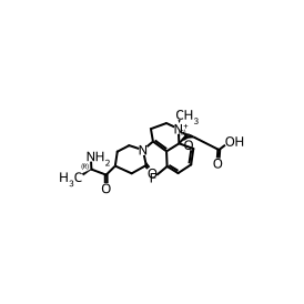 C[C@@H](N)C(=O)C1CCN(C2=C3C(F)=CC=CC34C(=O)C(C(=O)O)C=C[N@+]4(C)CC2)C(=O)C1